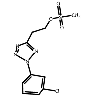 CS(=O)(=O)OCCc1nnn(-c2cccc(Cl)c2)n1